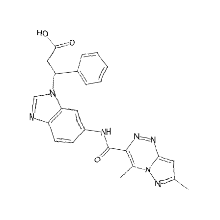 Cc1cc2nnc(C(=O)Nc3ccc4ncn(C(CC(=O)O)c5ccccc5)c4c3)c(C)n2n1